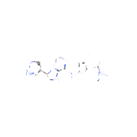 Cc1cc(Nc2nccn3c(-c4cnn(C)c4)cnc23)sc1C(O)N(C)C